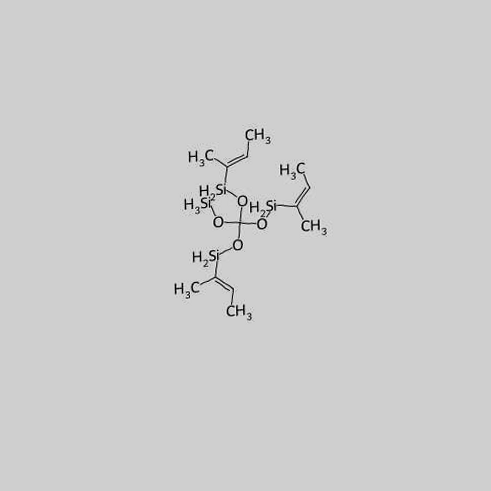 CC=C(C)[SiH2]OC(O[SiH3])(O[SiH2]C(C)=CC)O[SiH2]C(C)=CC